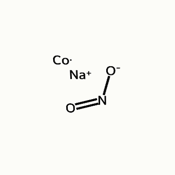 O=N[O-].[Co].[Na+]